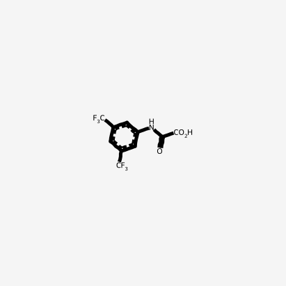 O=C(O)C(=O)Nc1cc(C(F)(F)F)cc(C(F)(F)F)c1